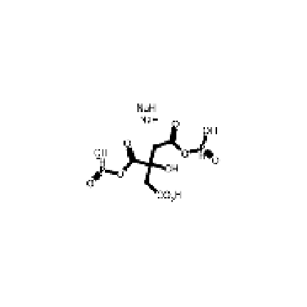 O=C(O)CC(O)(CC(=O)O[PH](=O)O)C(=O)O[PH](=O)O.[NaH].[NaH]